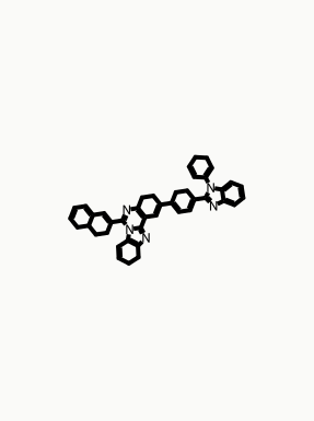 C1=CCC2CCC(c3nc4c(c5nc6c(n35)C=CCC6)C=C(C3=CC=C(c5nc6ccccc6n5C5=CCCC=C5)CC3)CC4)=CC2=C1